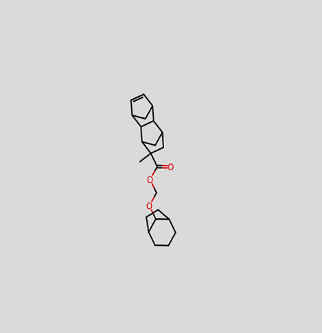 CC1(C(=O)OCOC2C3CCCC2CC3)CC2CC1C1C3C=CC(C3)C21